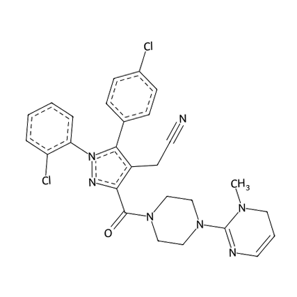 CN1CC=CN=C1N1CCN(C(=O)c2nn(-c3ccccc3Cl)c(-c3ccc(Cl)cc3)c2CC#N)CC1